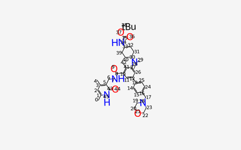 Cc1cc(C)c(CNC(=O)c2cc(-c3ccc(CN4CCOCC4)cc3)cc(N(C)[C@H]3CC[C@@H](NC(=O)OC(C)(C)C)CC3)c2C)c(=O)[nH]1